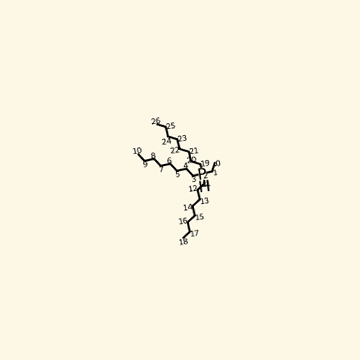 [CH2]C[PH](CCCCCCCC)(CCCCCCCC)CCCCCCCC